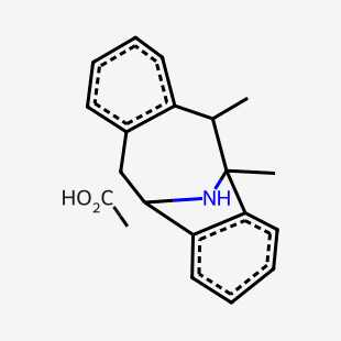 CC(=O)O.CC1c2ccccc2CC2NC1(C)c1ccccc12